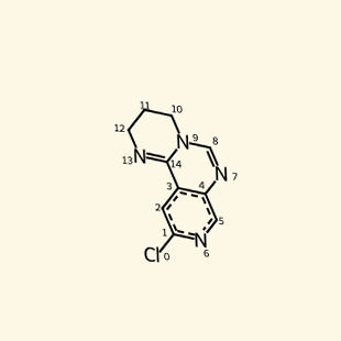 Clc1cc2c(cn1)N=CN1CCCN=C21